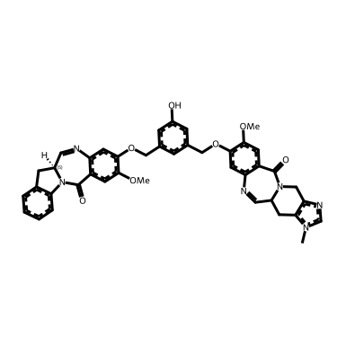 COc1cc2c(cc1OCc1cc(O)cc(COc3cc4c(cc3OC)C(=O)N3c5ccccc5C[C@H]3C=N4)c1)N=CC1Cc3c(ncn3C)CN1C2=O